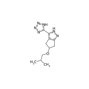 CC(C)COC1Cc2n[nH]c(-c3nnn[nH]3)c2C1